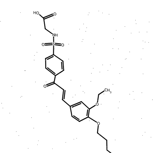 CCCCOc1ccc(/C=C/C(=O)c2ccc(S(=O)(=O)NCC(=O)O)cc2)cc1OCC